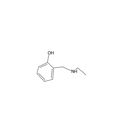 CCNCc1ccccc1O